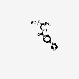 NC(CNC(=O)N1CCC(n2ccnc2)CC1)C(=O)O